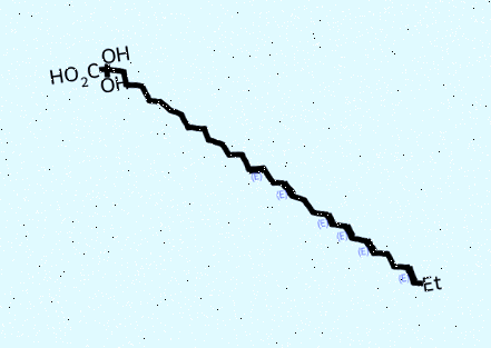 CC/C=C/CC/C=C/C=C/C=C/CC/C=C/C/C=C/CCCCCCCCCCCCCC(O)(O)C(=O)O